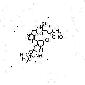 CN(C=O)CCC(=O)N(C)Cc1cc2ncnc(-c3cc(Cl)cc(Cl)c3CC3CNCC(C)(C)O3)c2s1